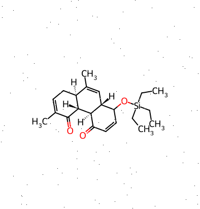 CC[Si](CC)(CC)OC1C=CC(=O)[C@H]2[C@@H]3C(=O)C(C)=CC[C@H]3C(C)=C[C@H]12